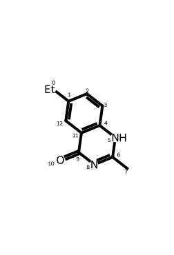 CCc1ccc2[nH]c(C)nc(=O)c2c1